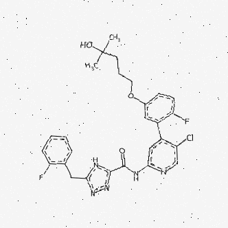 CC(C)(O)CCCOc1ccc(F)c(-c2cc(NC(=O)c3nnc(Cc4ccccc4F)[nH]3)ncc2Cl)c1